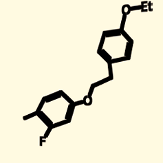 CCOc1ccc(CCOc2ccc(C)c(F)c2)cc1